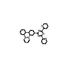 C1=CB2c3ccccc3-c3ccc(-c4nc(-c5ccccn5)nc(-c5ccccn5)n4)cc3N2C=C1